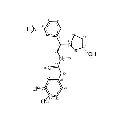 CN(C[C@@H](c1cccc(N)c1)N1CC[C@H](O)C1)C(=O)Cc1ccc(Cl)c(Cl)c1